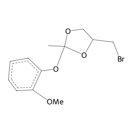 COc1ccccc1OC1(C)OCC(CBr)O1